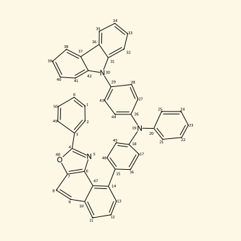 c1ccc(-c2nc3c(ccc4cccc(-c5ccc(N(c6ccccc6)c6ccc(-n7c8ccccc8c8ccccc87)cc6)cc5)c43)o2)cc1